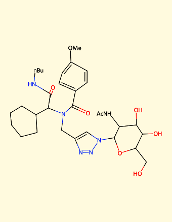 CCCCNC(=O)C(C1CCCCC1)N(Cc1cn(C2OC(CO)C(O)C(O)C2NC(C)=O)nn1)C(=O)c1ccc(OC)cc1